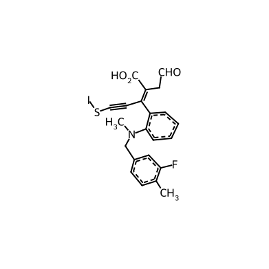 Cc1ccc(CN(C)c2ccccc2/C(C#CSI)=C(\CC=O)C(=O)O)cc1F